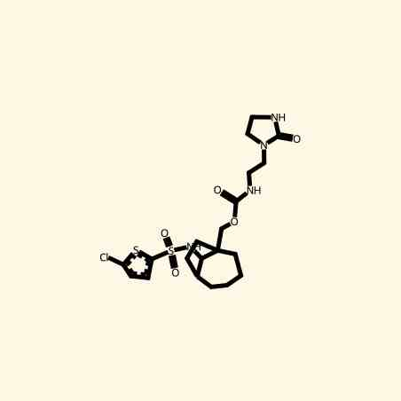 O=C(NCCN1CCNC1=O)OCC12CCCCC(CC1)C2NS(=O)(=O)c1ccc(Cl)s1